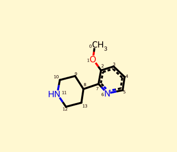 COc1cccnc1C1CCNCC1